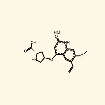 C=Cc1cc2c(O[C@H]3CN[C@H](C(=O)O)C3)cc(=O)[nH]c2cc1OC.Cl